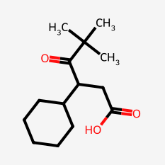 CC(C)(C)C(=O)C(CC(=O)O)C1CCCCC1